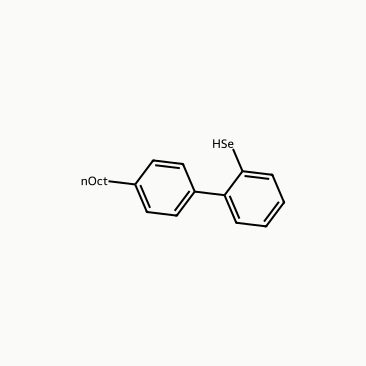 CCCCCCCCc1ccc(-c2ccccc2[SeH])cc1